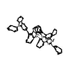 CC12C=CC=CC1c1c(-c3ccc4c5ccccc5n(-c5ccccc5)c4c3)cccc1N2c1cccc(-c2nc(-c3ccccc3)nc(-c3ccccc3)n2)c1-n1c2ccccc2c2ccccc21